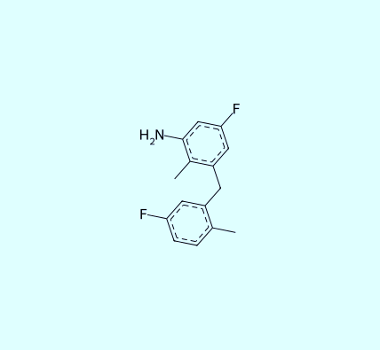 Cc1ccc(F)cc1Cc1cc(F)cc(N)c1C